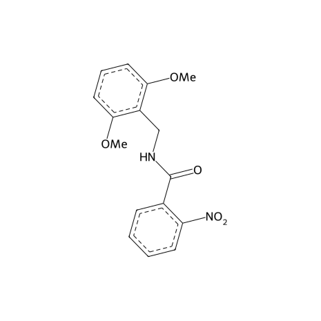 COc1cccc(OC)c1CNC(=O)c1ccccc1[N+](=O)[O-]